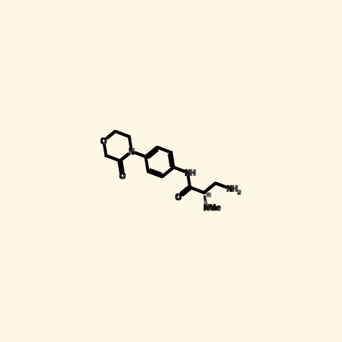 CN[C@@H](CN)C(=O)Nc1ccc(N2CCOCC2=O)cc1